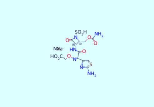 NC(=O)OC[C@@H]1[C@H](NC(=O)C(=NOCC(=O)O)c2csc(N)n2)C(=O)N1S(=O)(=O)O.[Na].[Na]